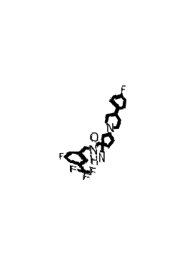 N#CC1(C(=O)NCc2cc(F)cc(C(F)(F)F)c2)CCC(N2CCC(c3ccc(F)cc3)CC2)C1